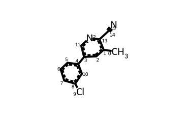 Cc1cc(-c2cccc(Cl)c2)cnc1C#N